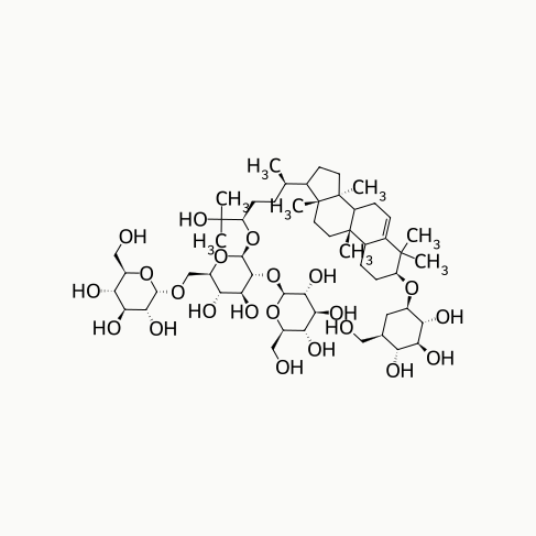 C[C@H](CC[C@@H](O[C@@H]1O[C@H](CO[C@H]2O[C@H](CO)[C@@H](O)[C@H](O)[C@H]2O)[C@@H](O)[C@H](O)[C@H]1O[C@@H]1O[C@H](CO)[C@@H](O)[C@H](O)[C@H]1O)C(C)(C)O)C1CC[C@@]2(C)C3CC=C4C(CC[C@H](O[C@@H]5C[C@H](CO)[C@@H](O)[C@H](O)[C@H]5O)C4(C)C)[C@]3(C)CC[C@]12C